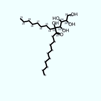 CCCCCCCCCCC(=O)C(O)(CCCCCCCC)C(O)C(O)C(O)CO